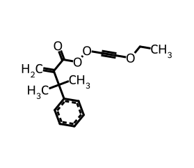 C=C(C(=O)OOC#COCC)C(C)(C)c1ccccc1